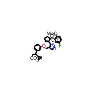 COc1ccc(F)c(-n2ncc(COc3cccc(C(CC(=O)O)C4CC4)c3)c2C2=CCCC2(C)C)c1